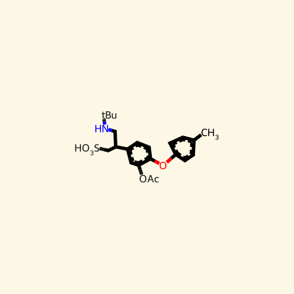 CC(=O)Oc1cc(C(CNC(C)(C)C)CS(=O)(=O)O)ccc1Oc1ccc(C)cc1